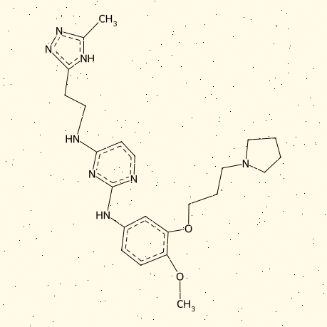 COc1ccc(Nc2nccc(NCCc3nnc(C)[nH]3)n2)cc1OCCCN1CCCC1